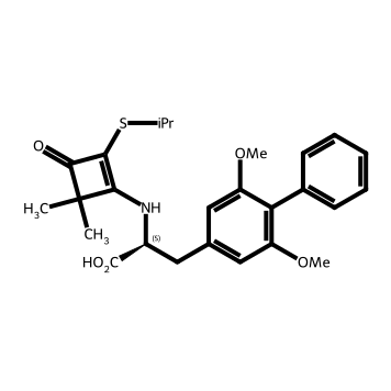 COc1cc(C[C@H](NC2=C(SC(C)C)C(=O)C2(C)C)C(=O)O)cc(OC)c1-c1ccccc1